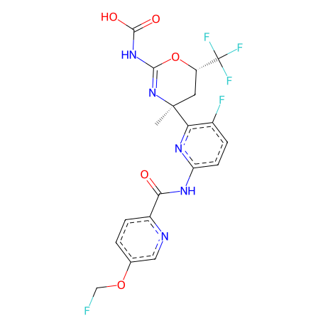 C[C@@]1(c2nc(NC(=O)c3ccc(OCF)cn3)ccc2F)C[C@@H](C(F)(F)F)OC(NC(=O)O)=N1